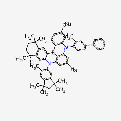 Cc1cc(-c2ccccc2)ccc1N1c2cc(C(C)(C)C)ccc2B2c3cc4c(cc3N(c3cc5c(cc3C)C(C)(C)CC5(C)C)c3cc(C(C)(C)C)cc1c32)C(C)(C)CCC4(C)C